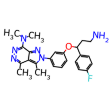 Cc1nnc(N(C)C)c2nn(-c3cccc(OC(CCN)c4ccc(F)cc4)c3)c(C)c12